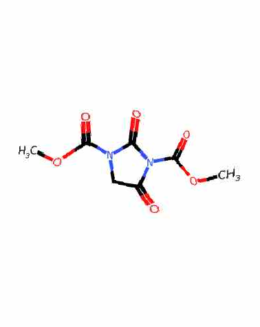 COC(=O)N1CC(=O)N(C(=O)OC)C1=O